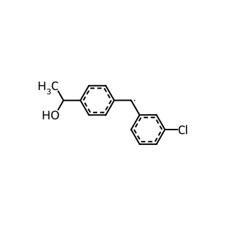 CC(O)c1ccc([CH]c2cccc(Cl)c2)cc1